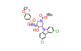 CC(C)(C)OC(=O)N1CC(n2c3ccc(Cl)cc3c3cc(Cl)ccc32)C(O)[C@H](NS(=O)(=O)c2ccc(OC(F)(F)F)cc2)C1